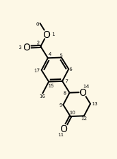 COC(=O)c1ccc(C2CC(=O)CCO2)c(C)c1